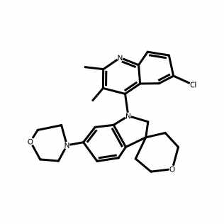 Cc1nc2ccc(Cl)cc2c(N2CC3(CCOCC3)c3ccc(N4CCOCC4)cc32)c1C